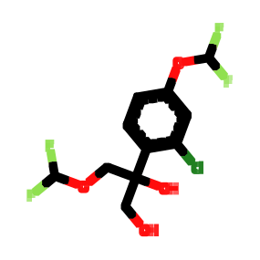 OCC(O)(COC(F)F)c1ccc(OC(F)F)cc1Cl